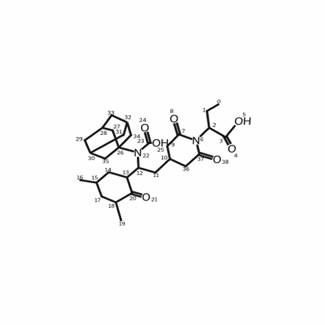 CCC(C(=O)O)N1C(=O)CC(CC(C2CC(C)CC(C)C2=O)N(C(=O)O)C23CC4CC(CC(C4)C2)C3)CC1=O